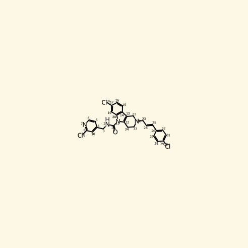 O=C(NCc1ccnc(Cl)c1)n1c2c(c3ccc(Cl)cc31)CN(C/C=C/c1ccc(Cl)cc1)CC2